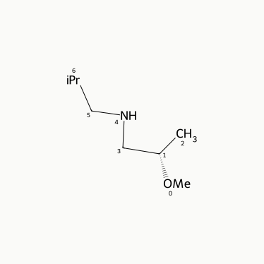 CO[C@@H](C)CNCC(C)C